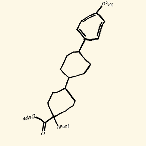 CCCCCc1ccc(C2CCC(C3CCC(CCCCC)(C(=O)OC)CC3)CC2)cc1